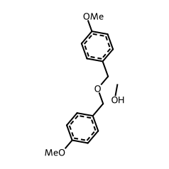 CO.COc1ccc(COCc2ccc(OC)cc2)cc1